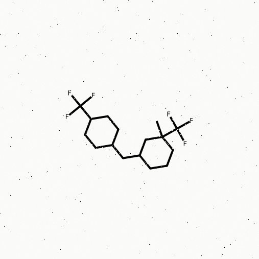 CC1(C(F)(F)F)CCCC(CC2CCC(C(F)(F)F)CC2)C1